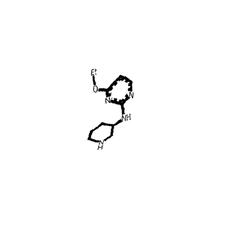 CCOc1ccnc(NC2CCCNC2)n1